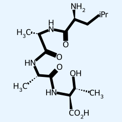 CC(C)C[C@H](N)C(=O)N[C@@H](C)C(=O)N[C@@H](C)C(=O)N[C@H](C(=O)O)[C@@H](C)O